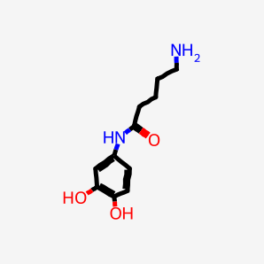 NCCCCC(=O)Nc1ccc(O)c(O)c1